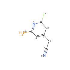 N#CCC1=CC(P)=NC(F)C1